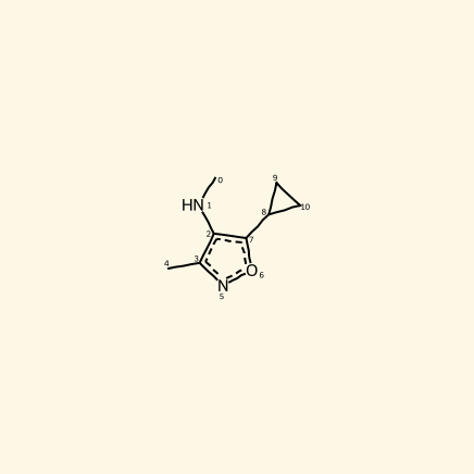 CNc1c(C)noc1C1CC1